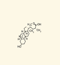 C[C@H](C[C@@H](C)[C@H]1CC[C@H]2[C@@H]3CC[C@@H]4C[C@H](O)CC[C@]4(C)[C@H]3CC[C@]12C)C(=O)O